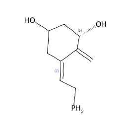 C=C1/C(=C\CP)CC(O)C[C@@H]1O